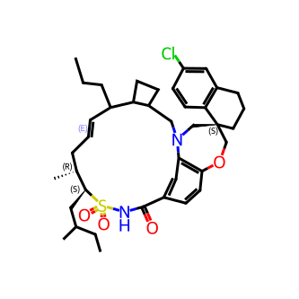 CCCC1/C=C/C[C@@H](C)[C@H](CC(C)CC)S(=O)(=O)NC(=O)c2ccc3c(c2)N(CC2CCC12)C[C@@]1(CCCc2cc(Cl)ccc21)CO3